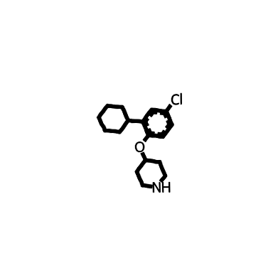 Clc1ccc(OC2CCNCC2)c(C2CCCCC2)c1